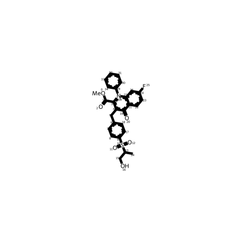 COC(=O)c1c(Cc2ccc(S(=O)(=O)C(C)CO)cc2)c(=O)c2ccc(F)cc2n1-c1ccccc1